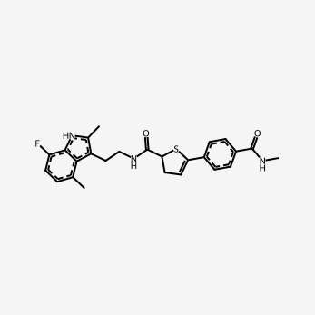 CNC(=O)c1ccc(C2=CCC(C(=O)NCCc3c(C)[nH]c4c(F)ccc(C)c34)S2)cc1